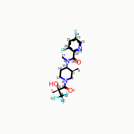 C[C@H]1CN(C(=O)[C@@](C)(O)C(F)(F)F)CC[C@H]1N(C)C(=O)c1ncc(F)cc1F